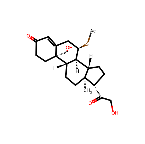 CC(=O)S[C@@H]1CC2=CC(=O)CC[C@]2(CO)[C@H]2CC[C@]3(C)[C@@H](C(=O)CO)CC[C@H]3[C@H]12